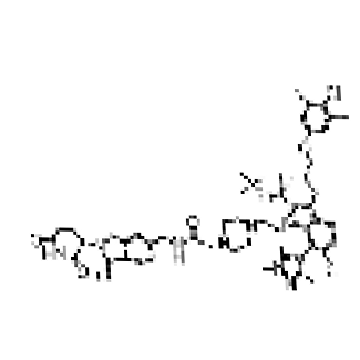 Cc1cc(OCCCc2c(C(=O)OC(C)(C)C)n(CCN3CCN(CC(=O)NCc4ccc5c(c4)CN(C4CCC(=O)NC4=O)C5=O)CC3)c3c(-c4c(C)nn(C)c4C)c(Cl)ccc23)cc(C)c1Cl